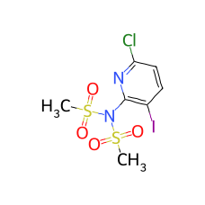 CS(=O)(=O)N(c1nc(Cl)ccc1I)S(C)(=O)=O